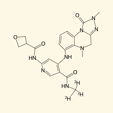 [2H]C([2H])([2H])NC(=O)c1cnc(NC(=O)C2COC2)cc1Nc1cccc2c1N(C)Cc1nn(C)c(=O)n1-2